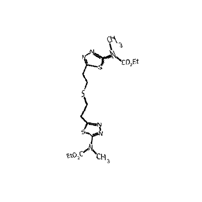 CCOC(=O)N(C)c1nnc(CCSCCc2nnc(N(C)C(=O)OCC)s2)s1